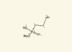 CCCCCP(=O)(O)OC